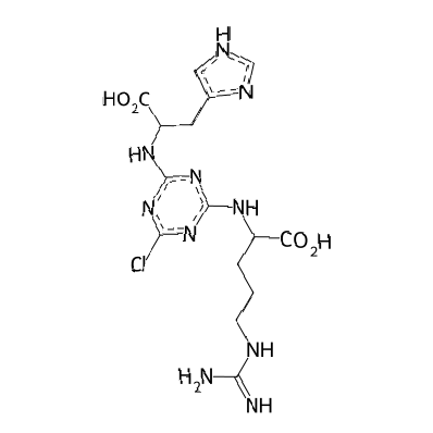 N=C(N)NCCCC(Nc1nc(Cl)nc(NC(Cc2c[nH]cn2)C(=O)O)n1)C(=O)O